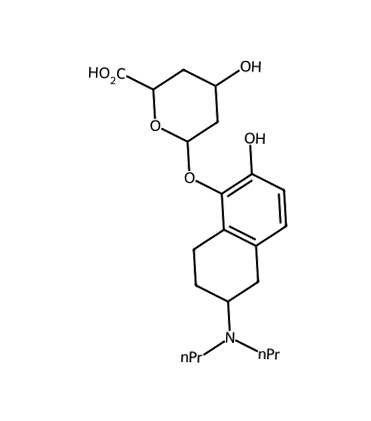 CCCN(CCC)C1CCc2c(ccc(O)c2OC2CC(O)CC(C(=O)O)O2)C1